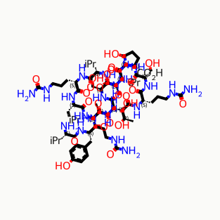 CC(C)C[C@H](NC(=O)[C@H](CCCNC(N)=O)NC(=O)[C@@H](NC(=O)[C@H](C)NC(=O)[C@H](CO)NC(=O)[C@H](CO)NC(=O)[C@H](CCCNC(N)=O)NC(=O)[C@@H](NC(=O)[C@H](C)NC(=O)[C@H](Cc1ccc(O)cc1)NC(=O)[C@@H](N)C(C)C)[C@@H](C)O)C(C)C)C(=O)N[C@@H](CCCNC(N)=O)C(=O)N[C@@H](CO)C(=O)N[C@@H](CO)C(=O)N[C@H](C(=O)N1CCC[C@H]1C(=O)O)C(C)C